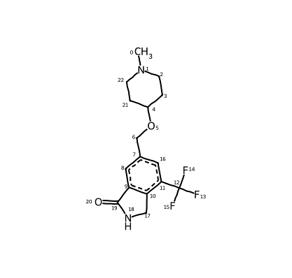 CN1CCC(OCc2cc3c(c(C(F)(F)F)c2)CNC3=O)CC1